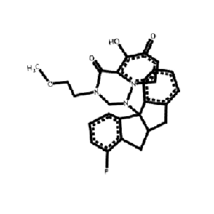 COCCN1CN(C23c4ccccc4CC2Cc2c(F)cccc23)n2ccc(=O)c(O)c2C1=O